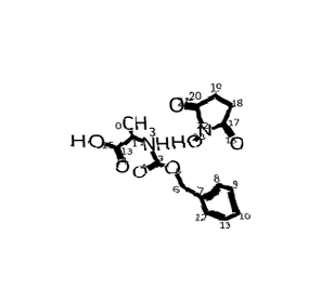 C[C@@H](NC(=O)OCc1ccccc1)C(=O)O.O=C1CCC(=O)N1O